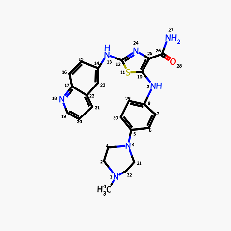 CN1CCN(c2ccc(Nc3sc(Nc4ccc5ncccc5c4)nc3C(N)=O)cc2)CC1